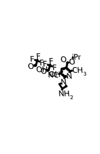 Cc1nc(N2CC(N)C2)c(C#N)cc1C(=O)OC(C)C.O=C(O)C(F)(F)F.O=C(O)C(F)(F)F